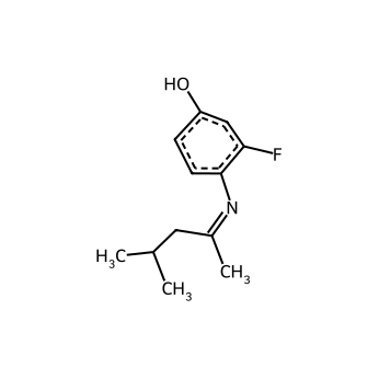 CC(CC(C)C)=Nc1ccc(O)cc1F